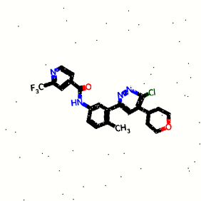 Cc1ccc(NC(=O)c2ccnc(C(F)(F)F)c2)cc1-c1cc(C2CCOCC2)c(Cl)nn1